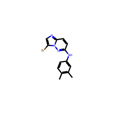 Cc1ccc(Nc2ccc3ncc(Br)n3n2)cc1C